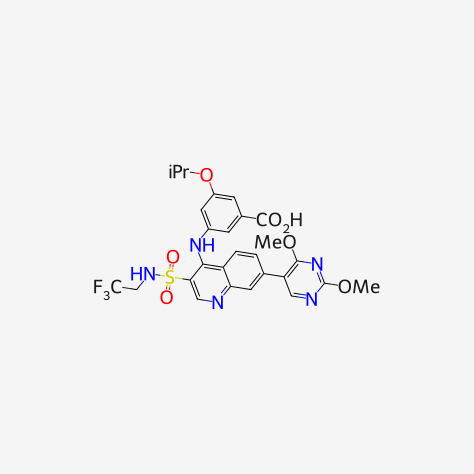 COc1ncc(-c2ccc3c(Nc4cc(OC(C)C)cc(C(=O)O)c4)c(S(=O)(=O)NCC(F)(F)F)cnc3c2)c(OC)n1